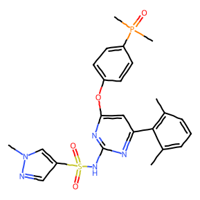 Cc1cccc(C)c1-c1cc(Oc2ccc(P(C)(C)=O)cc2)nc(NS(=O)(=O)c2cnn(C)c2)n1